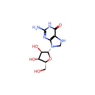 Nc1nc2c(c(=O)[nH]1)NCN2[C@@H]1O[C@H](CO)[C@@H](O)[C@H]1O